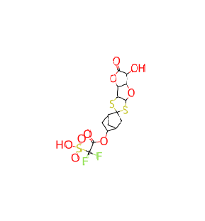 O=C1OC2C(OC3SC4(CC5CC4CC5OC(=O)C(F)(F)S(=O)(=O)O)SC32)C1O